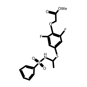 COC(=O)COc1c(F)cc(SC(C)NS(=O)(=O)c2ccccc2)cc1F